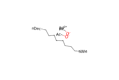 CC(=O)[O-].CC(=O)[O-].CCCCCCCCCCCCCCCCCCNC.[Pd+2]